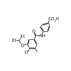 CCC(CC)Oc1cc(C(=O)Nc2ccc(C(=O)O)cc2)cc(C)c1Cl